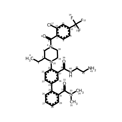 CCC1CN(C(=O)c2ccc(C(F)(F)F)cc2Cl)CCN1c1ccc(-c2ccccc2C(=O)N(C)C)cc1C(=O)NCCN